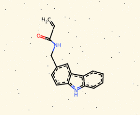 C=CC(=O)NCc1ccc2[nH]c3ccccc3c2c1